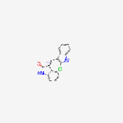 O=C1Nc2ccccc2/C1=C\c1c(Cl)[nH]c2ccccc12